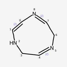 C1=C\NC/C=N\C\C=N/1